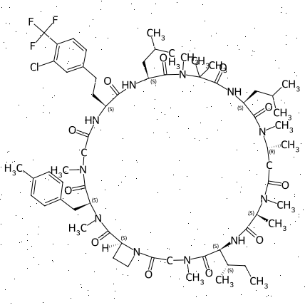 CC[C@H](C)[C@@H]1NC(=O)[C@H](C)N(C)C(=O)C[C@@H](C)N(C)C(=O)[C@H](CC(C)C)NC(=O)C(C)(C)N(C)C(=O)[C@H](CC(C)C)NC(=O)[C@H](CCc2ccc(C(F)(F)F)c(Cl)c2)NC(=O)CN(C)C(=O)[C@H](Cc2ccc(C)cc2)N(C)C(=O)[C@@H]2CCN2C(=O)CN(C)C1=O